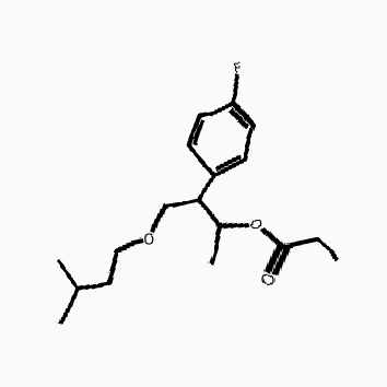 CCC(=O)OC(C)C(COCCC(C)C)c1ccc(F)cc1